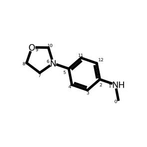 CNc1ccc(N2CCOC2)cc1